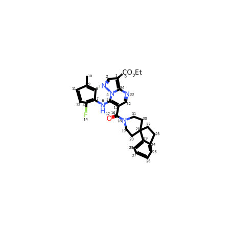 CCOC(=O)c1cnn2c(Nc3cc(C)ccc3F)c(C(=O)N3CCC4(CCc5ccccc54)CC3)cnc12